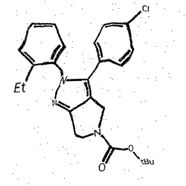 CCc1ccccc1-n1nc2c(c1-c1ccc(Cl)cc1)CN(C(=O)OC(C)(C)C)C2